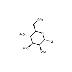 CC(=O)OC[C@H]1O[C@H](Cl)[C@@H](OC(C)=O)[C@@H](OC(C)=O)[C@@H]1OC(C)=O